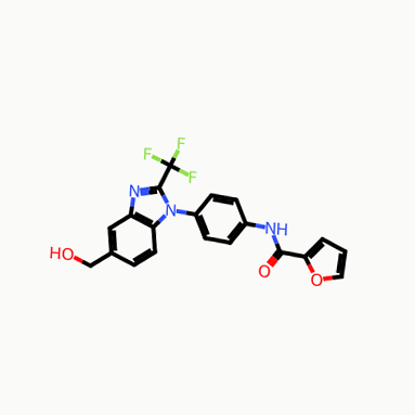 O=C(Nc1ccc(-n2c(C(F)(F)F)nc3cc(CO)ccc32)cc1)c1ccco1